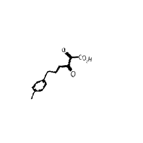 Cc1ccc(CCCC(=O)C(=O)C(=O)O)cc1